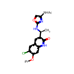 CC(=O)Nc1coc(N[C@@H](C)c2cc3cc(Cl)c(OC(C)C)cc3[nH]c2=O)n1